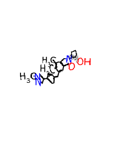 Cc1c(Cc2ccc(-c3cnn(C)c3)cc2)cc2c(c1C)CN([C@H]1CCC[C@@H]1CO)C2=O